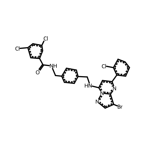 O=C(NCc1ccc(CNc2cc(-c3ccccc3Cl)nc3c(Br)cnn23)cc1)c1cc(Cl)cc(Cl)c1